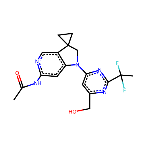 CC(=O)Nc1cc2c(cn1)C1(CC1)CN2c1cc(CO)nc(C(C)(F)F)n1